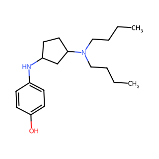 CCCCN(CCCC)C1CCC(Nc2ccc(O)cc2)C1